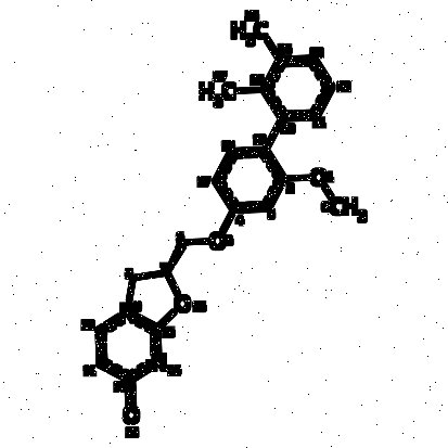 COc1cc(OC[C@@H]2Cn3ccc(=O)nc3O2)ccc1-c1cccc(C)c1C